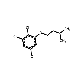 CC(C)CCOc1cc(Cl)cc(Cl)c1Cl